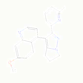 CCOc1ccc2c(-c3c(-c4cccc(C)n4)nn4c3CCC4)ccnc2c1